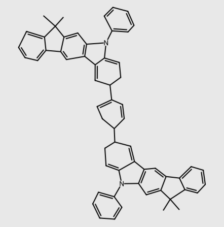 CC1(C)c2ccccc2-c2cc3c4c(n(-c5ccccc5)c3cc21)=CCC(C1=CCC(C2C=c3c(n(-c5ccccc5)c5cc6c(cc35)-c3ccccc3C6(C)C)=CC2)C=C1)C=4